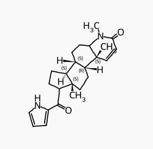 CN1C(=O)C=C[C@@]2(C)C1CC[C@@H]1[C@H]2CC[C@]2(C)C(C(=O)c3ccc[nH]3)CC[C@@H]12